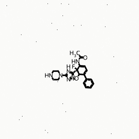 CC(=O)NC1=CC=C(c2ccccc2)C(O)C1(F)c1nnc(N2CCNCC2)[nH]1